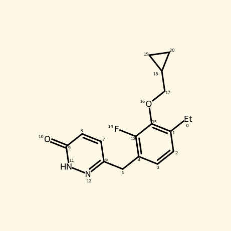 CCc1ccc(Cc2ccc(=O)[nH]n2)c(F)c1OCC1CC1